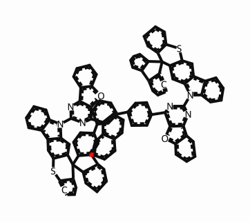 c1cc(-c2ccc(-c3nc(-n4c5ccccc5c5cc6c(cc54)C4(c5ccccc5S6)c5ccccc5-c5ccccc54)nc4c3oc3ccccc34)cc2)cc(-c2ccc3c(c2)-c2ccccc2C32c3ccccc3Sc3cc4c5ccccc5n(-c5nc(-c6cccc7ccccc67)c6oc7ccccc7c6n5)c4cc32)c1